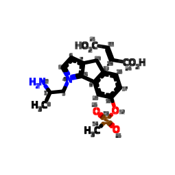 CC(N)Cn1ccc2c1-c1cc(OS(C)(=O)=O)ccc1C2.O=C(O)/C=C/C(=O)O